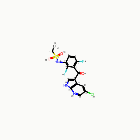 O=C(c1c(F)ccc(NS(=O)(=O)CC(F)(F)F)c1F)c1c[nH]c2ncc(Cl)cc12